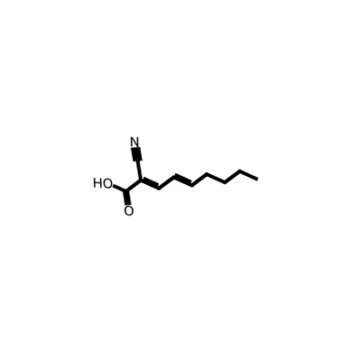 CCCC/C=C/C=C(\C#N)C(=O)O